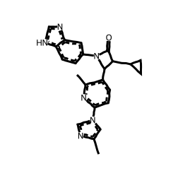 Cc1cn(-c2ccc(C3C(C4CC4)C(=O)N3c3ccc4[nH]cnc4c3)c(C)n2)cn1